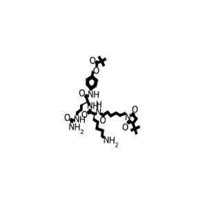 CC(C)(C)C(=O)OCc1ccc(NC(=O)[C@H](CCCNC(N)=O)NC(=O)[C@H](CCCCCN)NC(=O)CCCCCN2C(=O)CC(C(C)(C)C)C2=O)cc1